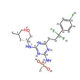 CC(C)C[C@H](CO)Nc1nc(CCC(F)(F)c2ccc(F)cc2)nc(NS(C)(=O)=O)n1